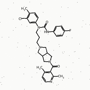 Cc1ccc(N(CCCN2CC3CN(C(=O)c4c(C)ccnc4C)CC3C2)C(=O)Nc2ccc(F)cc2)cc1Cl